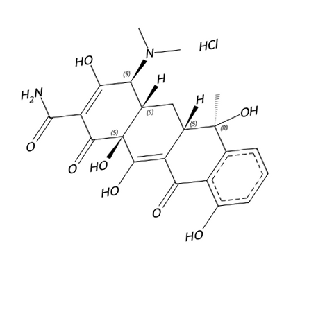 CN(C)[C@@H]1C(O)=C(C(N)=O)C(=O)[C@@]2(O)C(O)=C3C(=O)c4c(O)cccc4[C@](C)(O)[C@H]3C[C@@H]12.Cl